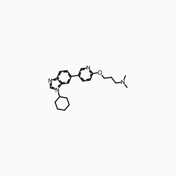 CN(C)CCCOc1ccc(-c2ccc3ncn(C4CCCCC4)c3c2)cn1